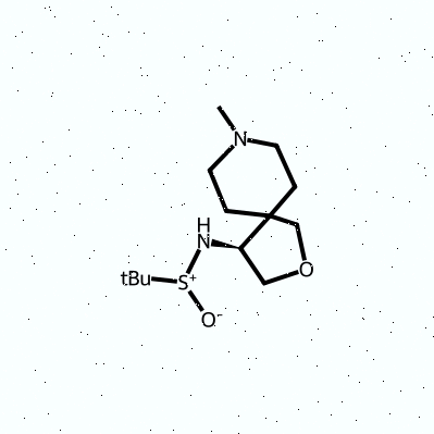 CN1CCC2(CC1)COC[C@H]2N[S+]([O-])C(C)(C)C